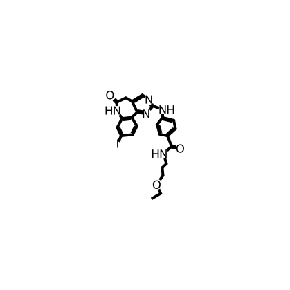 CCOCCCNC(=O)c1ccc(Nc2ncc3c(n2)-c2ccc(I)cc2NC(=O)C3)cc1